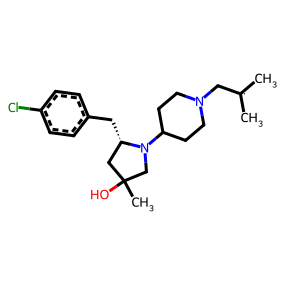 C[C](C)CN1CCC(N2CC(C)(O)C[C@@H]2Cc2ccc(Cl)cc2)CC1